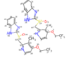 Cc1c(OCC(F)(F)F)ccnc1C[S+]([O-])c1nc2ccccc2[nH]1.Cc1c(OCC(F)(F)F)ccnc1C[S+]([O-])c1nc2ccccc2[nH]1